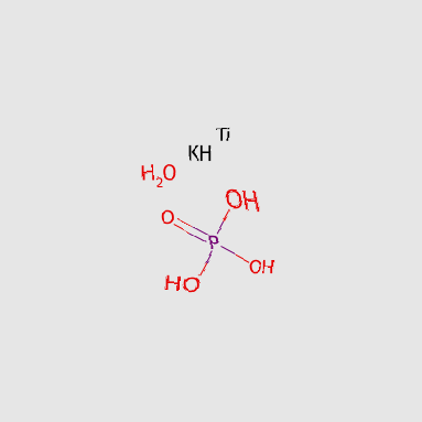 O.O=P(O)(O)O.[KH].[Ti]